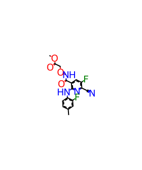 COC(=O)CONC(=O)c1cc(F)c(C#N)nc1Nc1ccc(C)cc1F